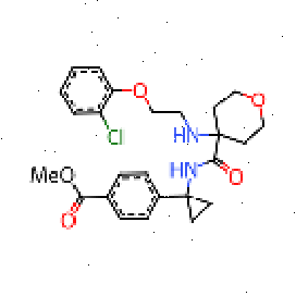 COC(=O)c1ccc(C2(NC(=O)C3(NCCOc4ccccc4Cl)CCOCC3)CC2)cc1